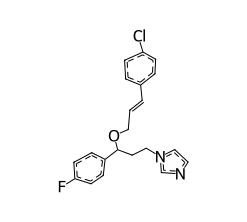 Fc1ccc(C(CCn2ccnc2)OCC=Cc2ccc(Cl)cc2)cc1